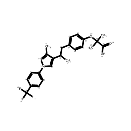 Cc1nn(-c2ccc(C(F)(F)F)cc2)cc1C(C)Cc1ccc(OC(C)(C)C(=O)O)cc1